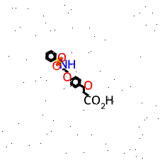 O=C(O)CCC(=O)c1ccc(OCCNS(=O)(=O)c2ccccc2)cc1